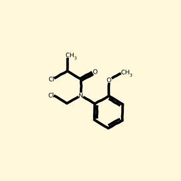 COc1ccccc1N(CCl)C(=O)C(C)Cl